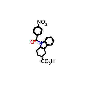 O=C(O)C1CCc2c(c3ccccc3n2C(=O)c2ccc([N+](=O)[O-])cc2)C1